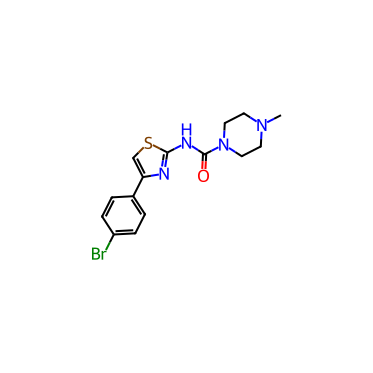 CN1CCN(C(=O)Nc2nc(-c3ccc(Br)cc3)cs2)CC1